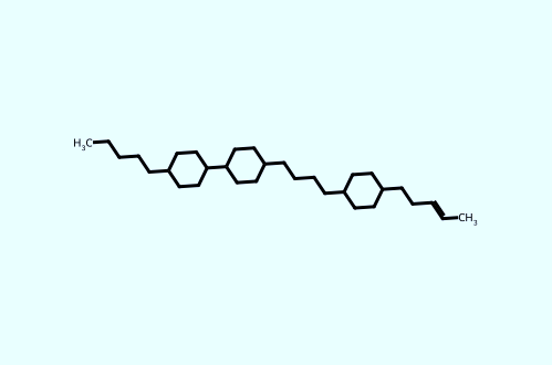 C/C=C/CCC1CCC(CCCCC2CCC(C3CCC(CCCCC)CC3)CC2)CC1